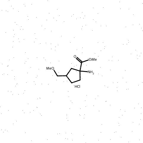 COCC1CCC(N)(C(=O)OC)C1.Cl